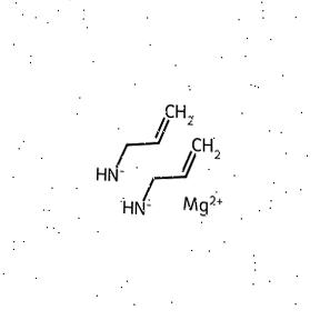 C=CC[NH-].C=CC[NH-].[Mg+2]